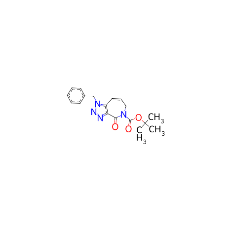 CC(C)(C)OC(=O)N1CC=Cc2c(nnn2Cc2ccccc2)C1=O